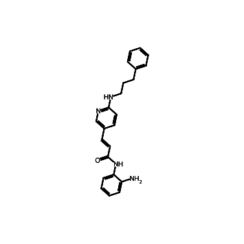 Nc1ccccc1NC(=O)C=Cc1ccc(NCCCc2ccccc2)nc1